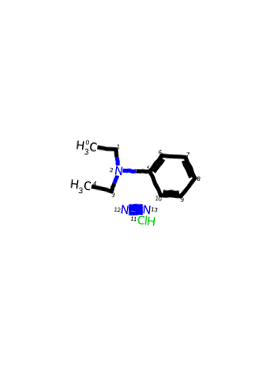 CCN(CC)c1ccccc1.Cl.N#N